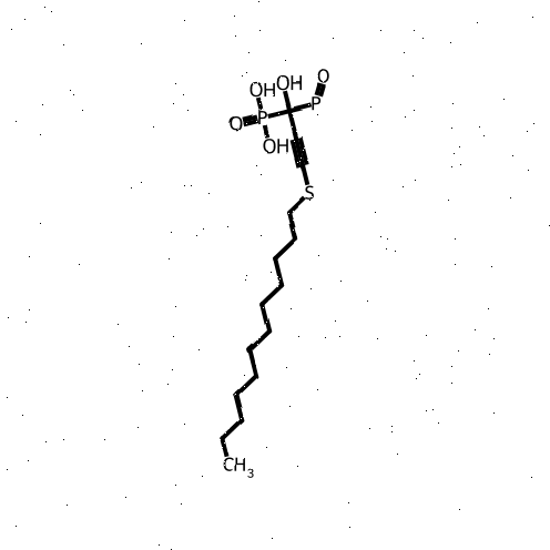 CCCCCCCCCCCCSC#CC(O)(P=O)P(=O)(O)O